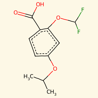 CC(C)Oc1ccc(C(=O)O)c(OC(F)F)c1